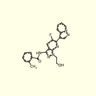 Cc1ccccc1C(=O)Nc1nn(CCO)c2nc(-c3cnn4ccccc34)c(F)cc12